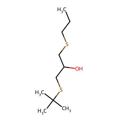 CCCSCC(O)CSC(C)(C)C